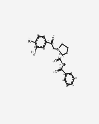 O=C(CN1CCC[C@@H]1C(=O)NC(=O)c1ccccc1)c1ccc(O)c(O)c1